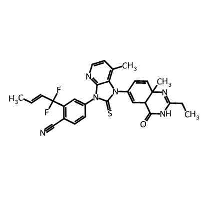 C/C=C/C(F)(F)c1cc(-n2c(=S)n(C3=CC4C(=O)NC(CC)=NC4(C)C=C3)c3c(C)ccnc32)ccc1C#N